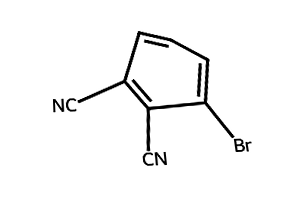 N#Cc1cccc(Br)c1C#N